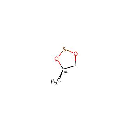 C[C@@H]1COSO1